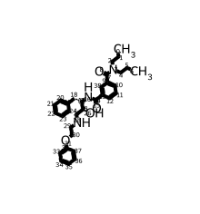 CCCN(CCC)C(=O)c1cccc(C(=O)N[C@@H](Cc2ccccc2)[C@H](O)CNCCOc2ccccc2)c1